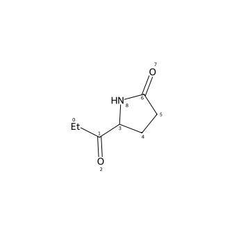 CCC(=O)C1CCC(=O)N1